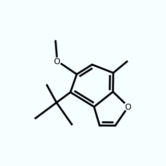 COc1cc(C)c2occc2c1C(C)(C)C